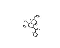 O=C(c1cccs1)c1cc(Cl)c(Cl)c2c1OCC(CO)O2